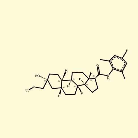 CCOC[C@@]1(O)CC[C@H]2[C@H](CC[C@@H]3[C@@H]2CC[C@]2(C)[C@@H](C(=O)Nc4c(C)cc(F)cc4C)CC[C@@H]32)C1